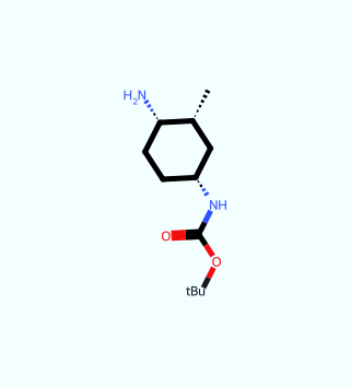 C[C@@H]1C[C@H](NC(=O)OC(C)(C)C)CC[C@@H]1N